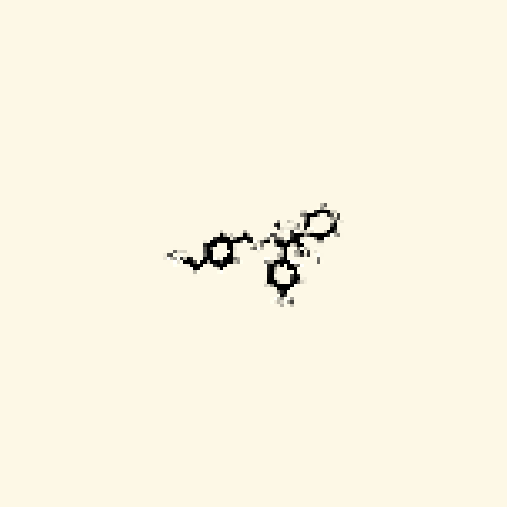 C=Cc1ccc(CO/N=C(\c2ccc(S)cc2)C(C)(C)N2CCOCC2)cc1